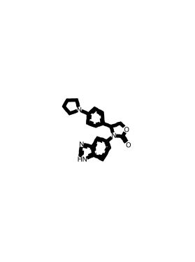 O=C1OCC(c2ccc(N3CCCC3)cc2)N1c1ccc2[nH]cnc2c1